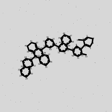 CC1=CCCC=C1c1cc(-c2ccc(-c3cccc(-c4c5c(c(-c6ccc7ccccc7c6)c6ccccc46)=CCCC=5)c3)c3ccccc23)ccc1C